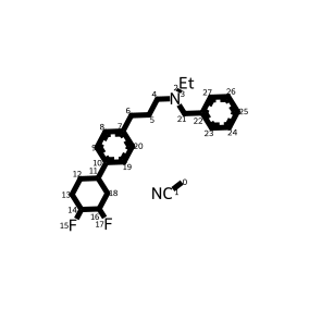 CC#N.CCN(CCCc1ccc(C2CCC(F)C(F)C2)cc1)Cc1ccccc1